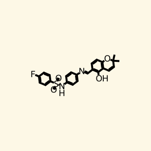 CC1(C)C=Cc2c(ccc(C=Nc3ccc(NS(=O)(=O)c4ccc(F)cc4)cc3)c2O)O1